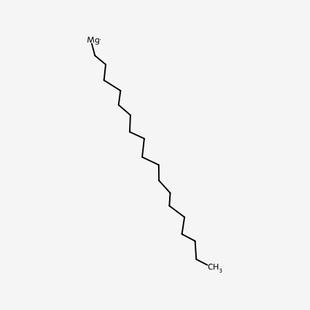 CCCCCCCCCCCCCCCCC[CH2][Mg]